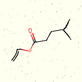 C=COC(=O)CCC(C)C